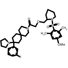 COc1cc(C)c(S(=O)(=O)N2CCCCC2COCC(=O)N2CCC3(CC2)CCC(c2cccc(F)c2)(N2CCCC2)CC3)c(C)c1